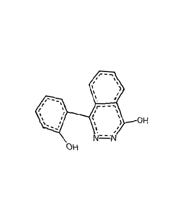 Oc1ccccc1-c1nnc(O)c2ccccc12